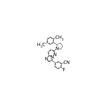 Cc1ccc(C)c(C2CCCN2c2ccc3ncc(-c4ccc(F)c(C#N)c4)n3n2)c1